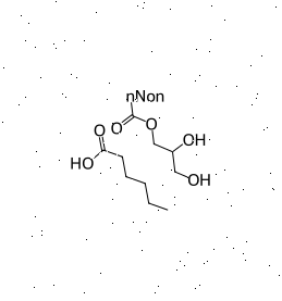 CCCCCC(=O)O.CCCCCCCCCC(=O)OCC(O)CO